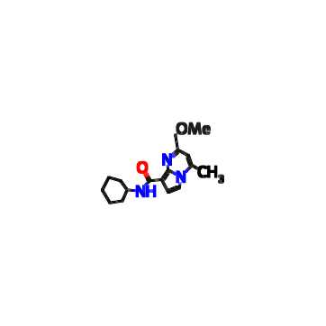 COCc1cc(C)n2ccc(C(=O)NC3CCCCC3)c2n1